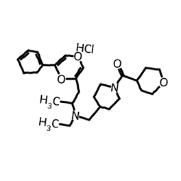 CCN(CC1CCN(C(=O)C2CCOCC2)CC1)C(C)CC1=COC=C(C2=CC=CCC2)O1.Cl